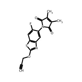 C#CCOc1nc2cc(N3C(=O)C(C)=C(C)C3=O)c(F)cc2s1